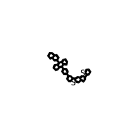 C1=C(c2ccc(-c3c4ccccc4c(-c4ccc5ccccc5c4)c4ccccc34)cc2)CC2C(=C1)Sc1cc3ccc4c5ccccc5sc4c3cc12